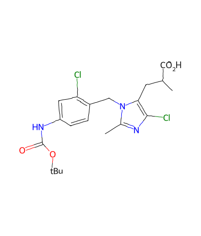 Cc1nc(Cl)c(CC(C)C(=O)O)n1Cc1ccc(NC(=O)OC(C)(C)C)cc1Cl